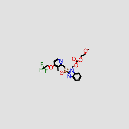 COCCOC(=O)OCn1c([S@+]([O-])Cc2nccc(OCC(F)(F)F)c2C)nc2ccccc21